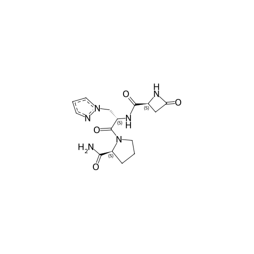 NC(=O)[C@@H]1CCCN1C(=O)[C@H](Cn1cccn1)NC(=O)[C@@H]1CC(=O)N1